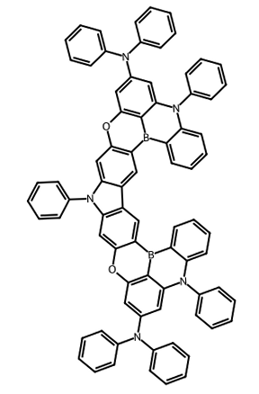 c1ccc(N(c2ccccc2)c2cc3c4c(c2)N(c2ccccc2)c2ccccc2B4c2cc4c5cc6c(cc5n(-c5ccccc5)c4cc2O3)Oc2cc(N(c3ccccc3)c3ccccc3)cc3c2B6c2ccccc2N3c2ccccc2)cc1